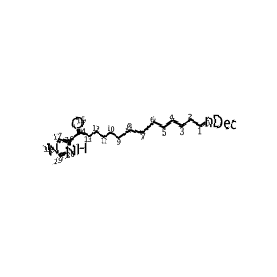 CCCCCCCCCCCCCCCCCCCCCCCC(=O)c1cnc[nH]1